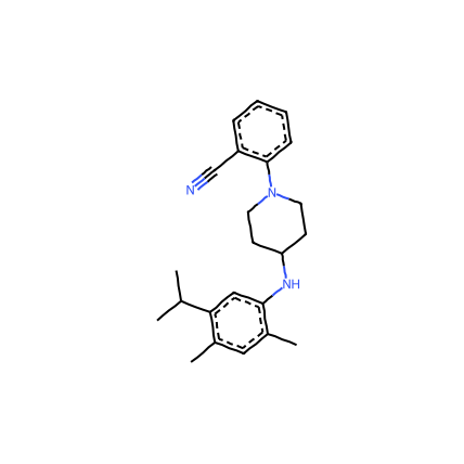 Cc1cc(C)c(C(C)C)cc1NC1CCN(c2ccccc2C#N)CC1